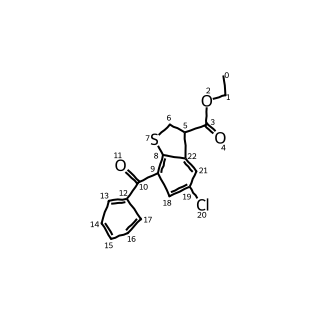 CCOC(=O)C1CSc2c(C(=O)c3ccccc3)cc(Cl)cc21